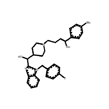 CC(C)(C)c1ccc(C(O)CCCN2CCC(C(O)c3nc4ccccc4n3Cc3ccc(F)cc3)CC2)cc1